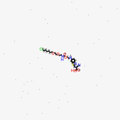 CN(CCOC(=O)NCCOCCOCCCCCCCl)c1ccc2nc(/C=C(\C#N)C(=O)O)sc2c1